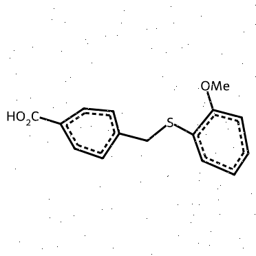 COc1ccccc1SCc1ccc(C(=O)O)cc1